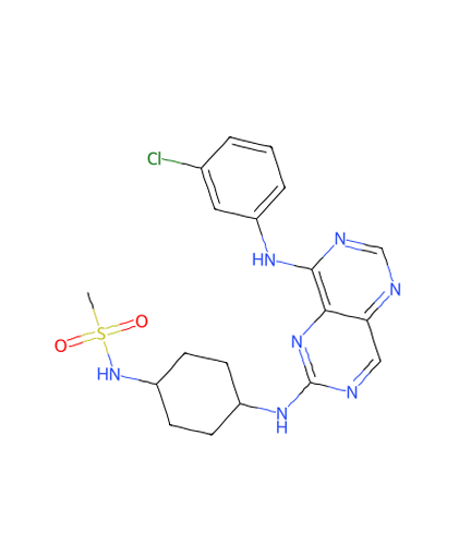 CS(=O)(=O)NC1CCC(Nc2ncc3ncnc(Nc4cccc(Cl)c4)c3n2)CC1